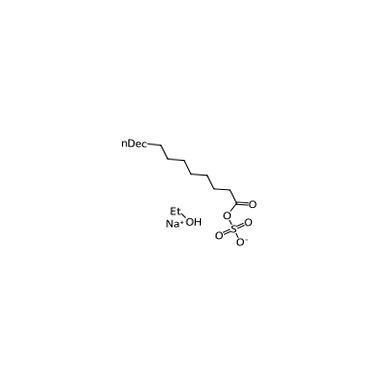 CCCCCCCCCCCCCCCCCC(=O)OS(=O)(=O)[O-].CCO.[Na+]